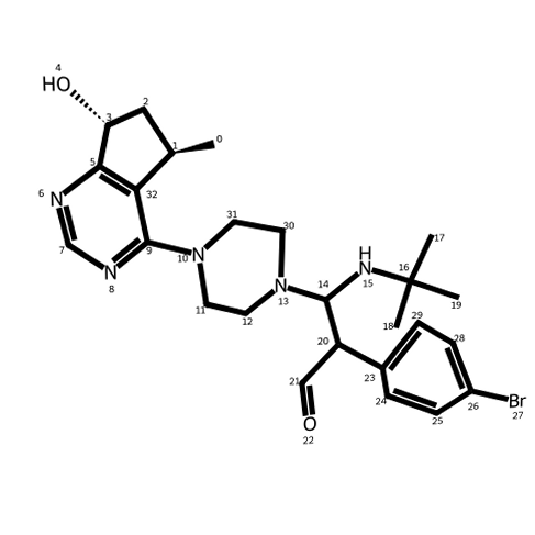 C[C@@H]1C[C@@H](O)c2ncnc(N3CCN(C(NC(C)(C)C)C(C=O)c4ccc(Br)cc4)CC3)c21